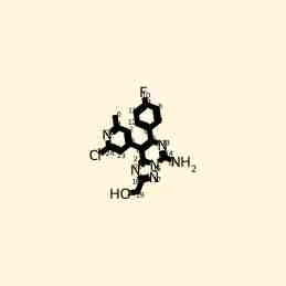 Cc1cc(-c2c(-c3ccc(F)cc3)nc(N)n3nc(CO)nc23)cc(Cl)n1